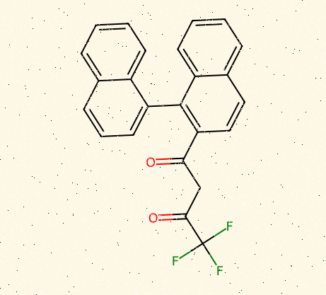 O=C(CC(=O)C(F)(F)F)c1ccc2ccccc2c1-c1cccc2ccccc12